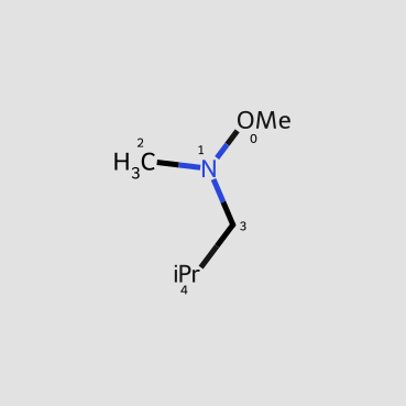 CON(C)CC(C)C